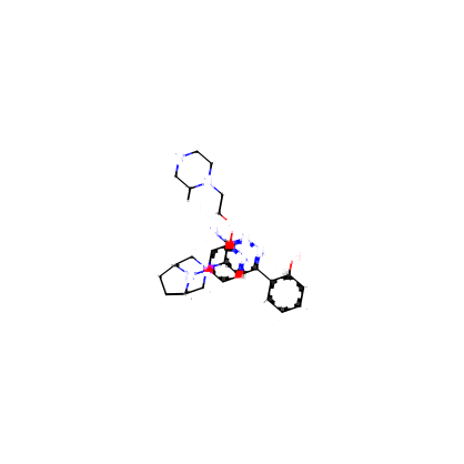 CC1CNCCN1CCOc1cc(N2C3CCC2CN(c2cc(-c4ccccc4O)nnc2N)C3)ccn1